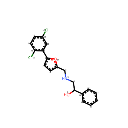 OC(CNCc1ccc(-c2cc(Cl)ccc2Cl)o1)c1ccccc1